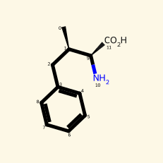 C[C@H](Cc1ccccc1)[C@H](N)C(=O)O